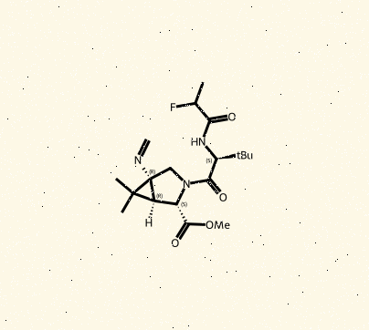 C=N[C@]12CN(C(=O)[C@@H](NC(=O)C(C)F)C(C)(C)C)[C@H](C(=O)OC)[C@H]1C2(C)C